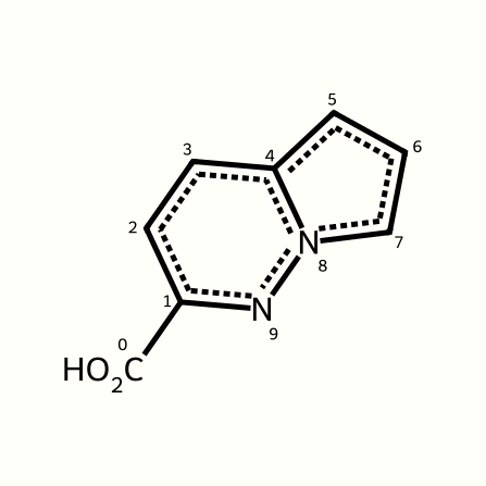 O=C(O)c1ccc2cccn2n1